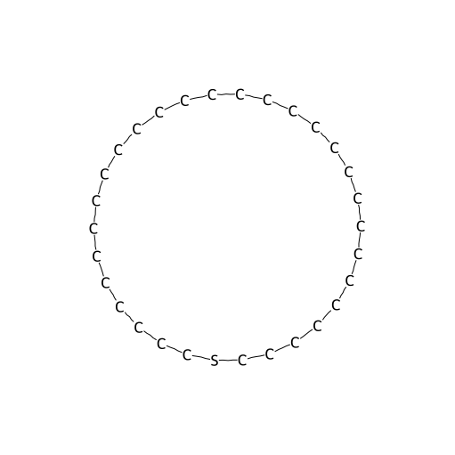 C1CCCCCCCCCCCCCCSCCCCCCCCCCCCCC1